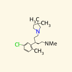 CNCC[C@H](CCN1CCC(C)(C)C1)c1cc(Cl)ccc1C